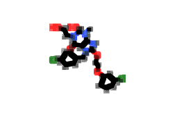 CN1c2nc(OCCOc3cccc(Cl)c3)n(Cc3ccc(Cl)cc3)c2C(=O)N(CCO)C1O